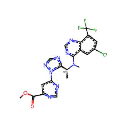 COC(=O)c1cc(-n2ncnc2[C@H](C)N(C)c2ncnc3c(C(F)(F)F)cc(Cl)cc23)ncn1